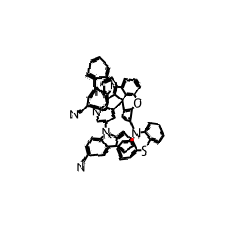 N#Cc1ccc2c(c1)c1ccccc1n2-c1cnc2c(c1)C1(c3ccc(N4c5ccccc5Sc5ccccc54)cc3Oc3cccc(-n4c5ccccc5c5cc(C#N)ccc54)c31)c1cccnc1-2